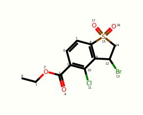 CCOC(=O)c1ccc2c(c1Cl)C(Br)CS2(=O)=O